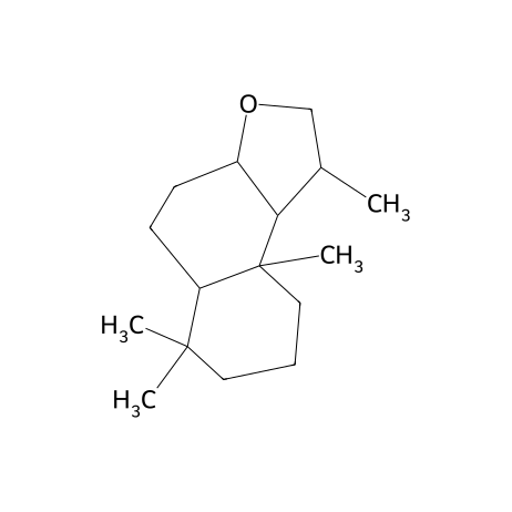 CC1COC2CCC3C(C)(C)CCCC3(C)C12